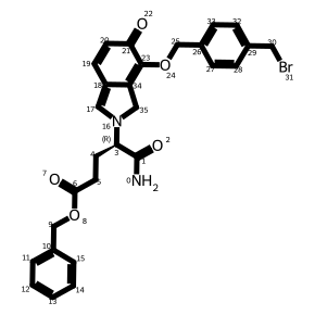 NC(=O)[C@@H](CCC(=O)OCc1ccccc1)N1C=C2C=CC(=O)C(OCc3ccc(CBr)cc3)=C2C1